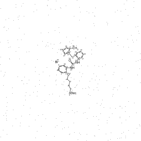 CCCCCCCCCCCCCCOc1ccccc1NC(=O)Nc1ccccc1C[n+]1cscc1C.[Br-]